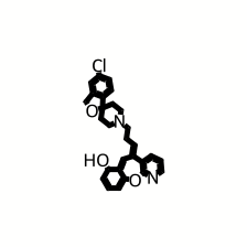 OC1C=CC=C2Oc3ncccc3C(=CCCN3CCC4(CC3)OCc3cc(Cl)ccc34)C=C21